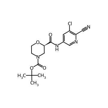 CC(C)(C)OC(=O)N1CCO[C@@H](C(=O)Nc2cnc(C#N)c(Cl)c2)C1